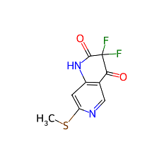 CSc1cc2c(cn1)C(=O)C(F)(F)C(=O)N2